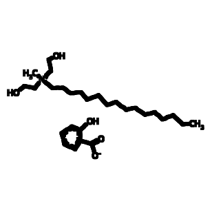 CCCCCCCCCCCCCCCC[N+](C)(CCO)CCO.O=C([O-])c1ccccc1O